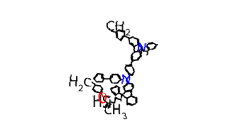 C=Cc1ccc(C2C=C3C(=CC2)N(c2ccccc2)[C@H]2C=CC(C4=CC=C(N(C5=CC=C(c6ccccc6)CC5)c5ccc6c(c5)C(CCC[SiH](C)COC5=CCC(C=C)C=C5)(c5ccccc5)C5C=CC=CC65)CC4)=CC32)cc1